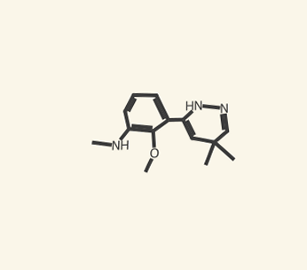 CNc1cccc(C2=CC(C)(C)C=NN2)c1OC